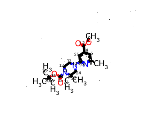 COC(=O)c1cc(C)nc(N2CCN(C(=O)OC(C)(C)C)C(C)(C)C2)c1